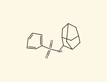 O=S(=O)(NC1C2CC3CC(C2)CC1C3)c1ccccc1